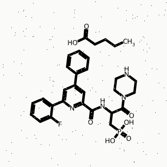 CCCCC(=O)O.O=C(NC(CP(=O)(O)O)C(=O)N1CCNCC1)c1cc(-c2ccccc2)cc(-c2ccccc2F)n1